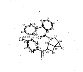 O=C(c1ccccc1-c1ncccn1)N1CC2CC23CC(Nc2ncc(Cl)cn2)C13